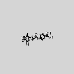 CC1=C(/C=C/C(=O)Nc2ccc(B(O)O)cc2)NNC(=O)N1